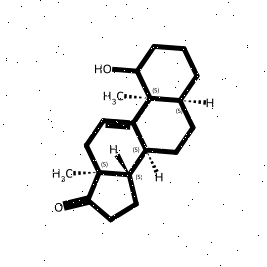 C[C@@]12C3=CC[C@]4(C)C(=O)CC[C@H]4[C@@H]3CC[C@@H]1CCCC2O